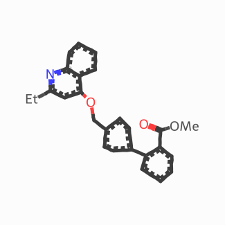 CCc1cc(OCc2ccc(-c3ccccc3C(=O)OC)cc2)c2ccccc2n1